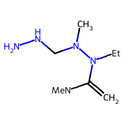 C=C(NC)N(CC)N(C)CNN